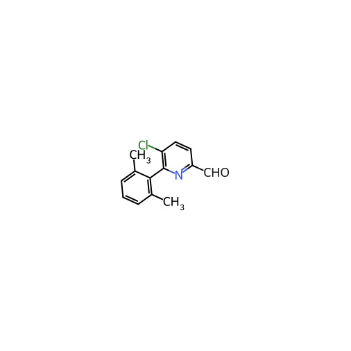 Cc1cccc(C)c1-c1nc(C=O)ccc1Cl